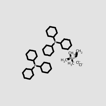 C1CCC(P(C2CCCCC2)C2CCCCC2)CC1.C1CCC(P(C2CCCCC2)C2CCCCC2)CC1.C=[CH][Ru+2](=[CH2])([CH3])[CH3].[Cl-].[Cl-]